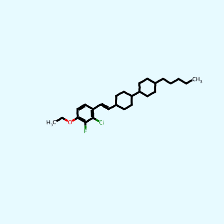 CCCCCC1CCC(C2CCC(/C=C/c3ccc(OCC)c(F)c3Cl)CC2)CC1